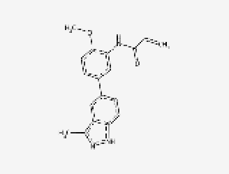 C=CC(=O)Nc1cc(-c2cc3c(C)n[nH]c3cn2)ccc1OC